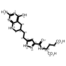 Nc1nc(O)c2c(n1)NCC(CCc1cc(C(=O)N[C@H](CCC(=O)O)C(=O)O)n[nH]1)C2